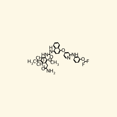 COc1c(CC(N)=O)cc(C(C)(C)C)cc1NC(=O)Nc1ccc(Oc2ccnc(Nc3cccc(OC(F)F)c3)c2)c2ccccc12